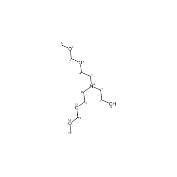 COCOCCN(CCO)CCOCOC